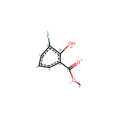 COC(=O)c1cccc(F)c1O